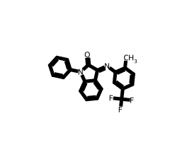 Cc1ccc(C(F)(F)F)cc1N=C1C(=O)N(c2ccccc2)c2ccccc21